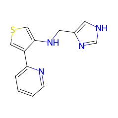 c1ccc(-c2cscc2NCc2c[nH]cn2)nc1